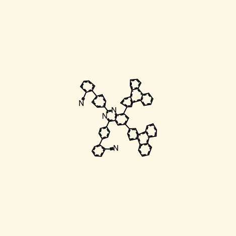 N#Cc1ccccc1-c1ccc(-c2nc(-c3ccc(-c4ccccc4C#N)cc3)c3cc(-c4ccc5c6ccccc6c6ccccc6c5c4)cc(-c4ccc5c6ccccc6c6ccccc6c5c4)c3n2)cc1